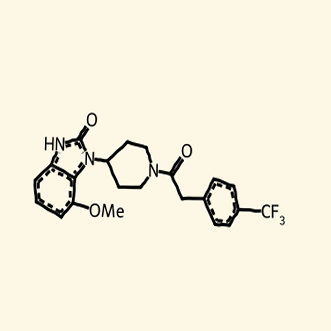 COc1cccc2[nH]c(=O)n(C3CCN(C(=O)Cc4ccc(C(F)(F)F)cc4)CC3)c12